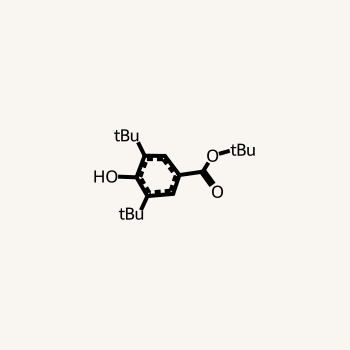 CC(C)(C)OC(=O)c1cc(C(C)(C)C)c(O)c(C(C)(C)C)c1